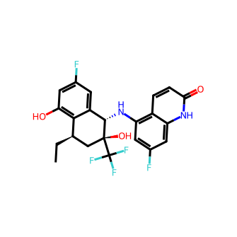 CC[C@@H]1C[C@@](O)(C(F)(F)F)[C@@H](Nc2cc(F)cc3[nH]c(=O)ccc23)c2cc(F)cc(O)c21